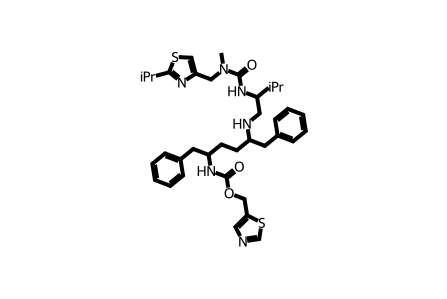 CC(C)c1nc(CN(C)C(=O)NC(CNC(CCC(Cc2ccccc2)NC(=O)OCc2cncs2)Cc2ccccc2)C(C)C)cs1